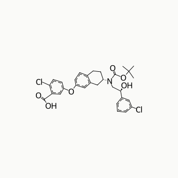 CC(C)(C)OC(=O)N(C[C@@H](O)c1cccc(Cl)c1)[C@H]1CCc2ccc(Oc3ccc(Cl)c(C(=O)O)c3)cc2C1